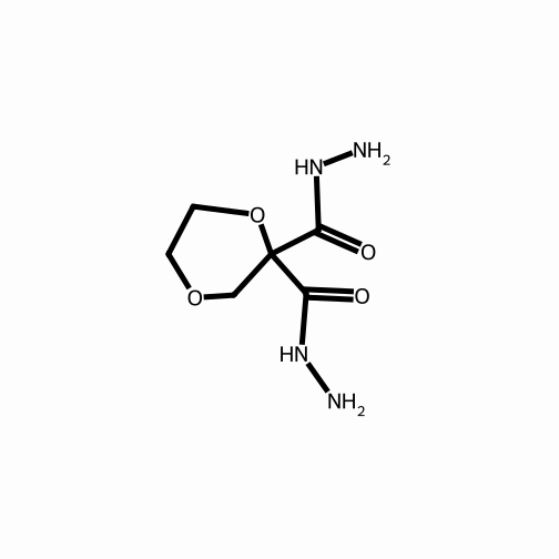 NNC(=O)C1(C(=O)NN)COCCO1